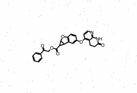 O=C1CCc2c(Oc3ccc4c(c3)C3C(O4)C3C(=O)OCC(=O)c3ccccc3)ccnc2N1